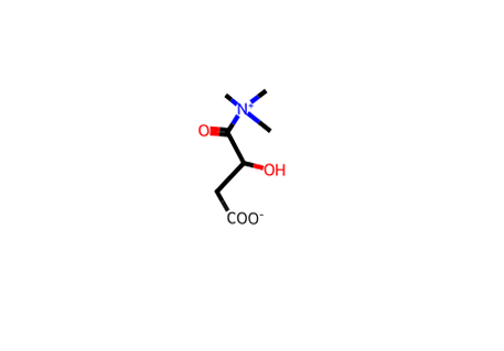 C[N+](C)(C)C(=O)C(O)CC(=O)[O-]